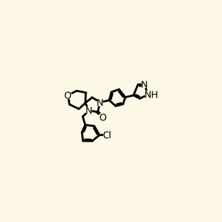 O=C1N(c2ccc(-c3cn[nH]c3)cc2)CC2(CCOCC2)N1Cc1cccc(Cl)c1